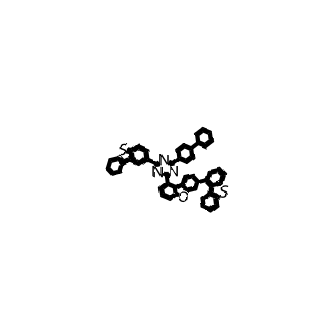 c1ccc(-c2ccc(-c3nc(-c4ccc5sc6ccccc6c5c4)nc(-c4cccc5oc6cc(-c7cccc8sc9ccccc9c78)ccc6c45)n3)cc2)cc1